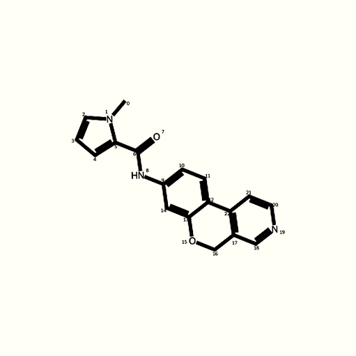 Cn1cccc1C(=O)Nc1ccc2c(c1)OCc1cnccc1-2